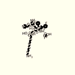 CC(C)(C)[C@H](c1cc(-c2cc(F)ccc2F)cn1Cc1ccccc1)N(CCCNC(=O)[C@H](CC(N)=O)NC(=O)Cc1ccncc1)C(=O)CSC[C@H](NC(=O)CCOCCOCCOCCOCCN)C(=O)O.O=C(O)C(F)(F)F